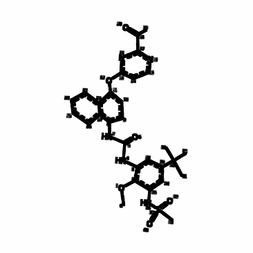 COc1c(NC(=O)Nc2ccc(Oc3ccnc(C(C)=O)n3)c3ccccc23)cc(C(C)(C)C)cc1NS(C)(=O)=O